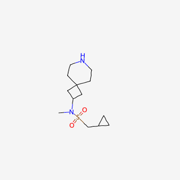 CN(C1CC2(CCNCC2)C1)S(=O)(=O)CC1CC1